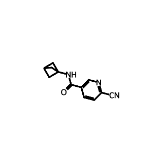 N#Cc1ccc(C(=O)NC23CC(C2)C3)cn1